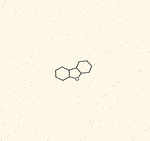 C1CCC2C(C1)OC1CCCCC12